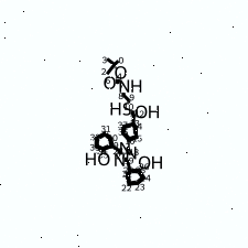 CC(C)(C)OC(=O)NCC[SH]=C(O)c1ccc(-n2nc(-c3ccccc3O)nc2-c2ccccc2O)cc1